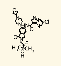 CC(C)(O)[C@@H](F)CN1Cc2cc(NC(=O)c3cnn4cc(Cl)cnc34)c(N3CCN(C4COC4)CC3)cc2C1=O